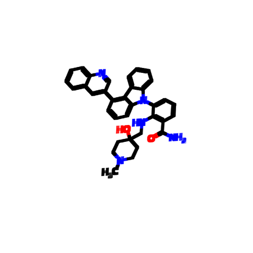 CN1CCC(O)(CNc2c(C(N)=O)cccc2-n2c3ccccc3c3c(-c4cnc5ccccc5c4)cccc32)CC1